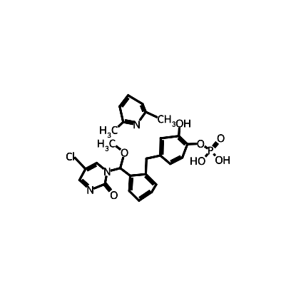 COC(c1ccccc1Cc1ccc(OP(=O)(O)O)c(O)c1)n1cc(Cl)cnc1=O.Cc1cccc(C)n1